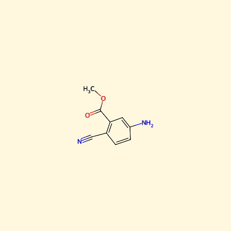 COC(=O)c1cc(N)ccc1C#N